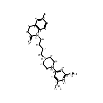 Cc1ccc2c(c1)CCC(=O)N2CCCCN1CCN(c2cc(C(F)(F)F)nc(C(C)(C)C)n2)CC1